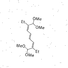 CCC(=CC=CC=C(CC)C(OC)OC)C(OC)OC